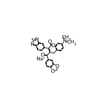 CN(C)c1ccc(C/C(C(=O)c2ccc3c(c2)OCO3)=C(\C(=O)[O-])c2ccc3nsnc3c2)cc1.[Na+]